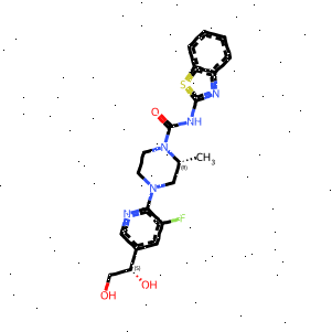 C[C@@H]1CN(c2ncc([C@H](O)CO)cc2F)CCN1C(=O)Nc1nc2ccccc2s1